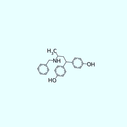 CC(CC(c1ccc(O)cc1)c1ccc(O)cc1)NCc1ccccc1